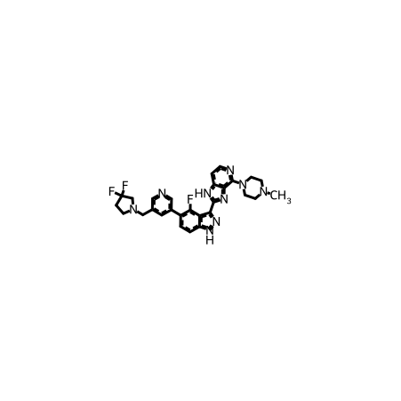 CN1CCN(c2nccc3[nH]c(-c4n[nH]c5ccc(-c6cncc(CN7CCC(F)(F)C7)c6)c(F)c45)nc23)CC1